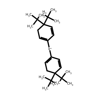 CC(C)(C)C1(C(C)(C)C)C=C[C]([Ir+][C]2=CCC(C(C)(C)C)(C(C)(C)C)C=C2)=CC1